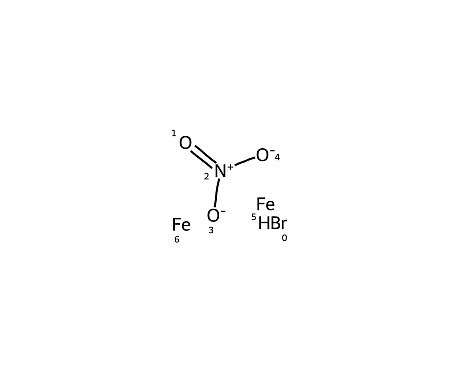 Br.O=[N+]([O-])[O-].[Fe].[Fe]